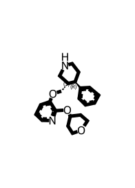 c1ccc([C@@H]2CCNC[C@H]2COc2cccnc2OC2CCOCC2)cc1